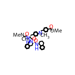 CN[C@@H](C)C(=O)N[C@@H](Cc1ccc(N(C)Cc2ccc(C(=O)OC)cc2)cc1)C(=O)N1Cc2ccccc2C[C@H]1C(=O)N[C@@H]1CCCc2ccccc21